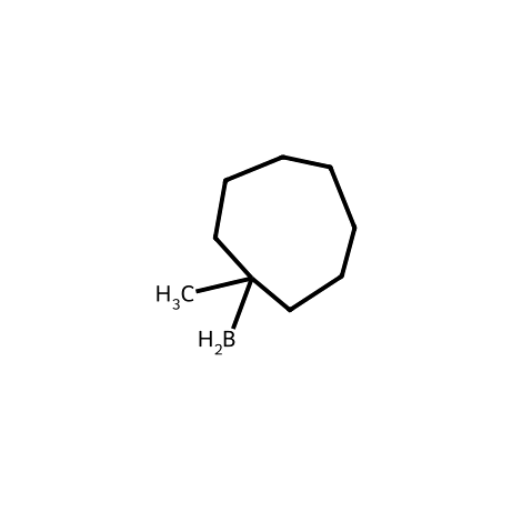 BC1(C)CCCCCCC1